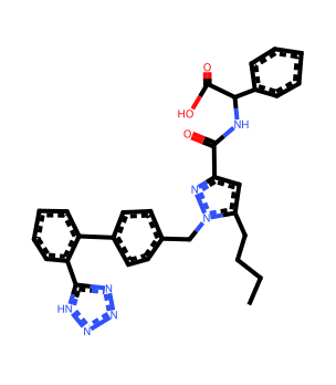 CCCCc1cc(C(=O)NC(C(=O)O)c2ccccc2)nn1Cc1ccc(-c2ccccc2-c2nnn[nH]2)cc1